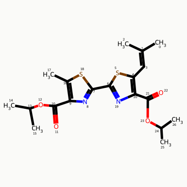 CC(C)=Cc1sc(-c2nc(C(=O)OC(C)C)c(C)s2)nc1C(=O)OC(C)C